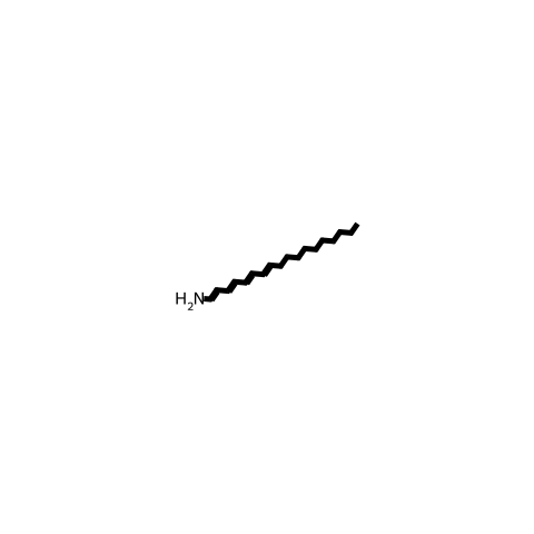 CCCCCCCCCCC=CC=CC=CC=CN